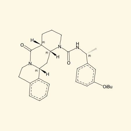 CC(C)COc1cccc([C@@H](C)NC(=O)N2CCC[C@H]3C(=O)N4CCc5ccccc5[C@H]4C[C@H]32)c1